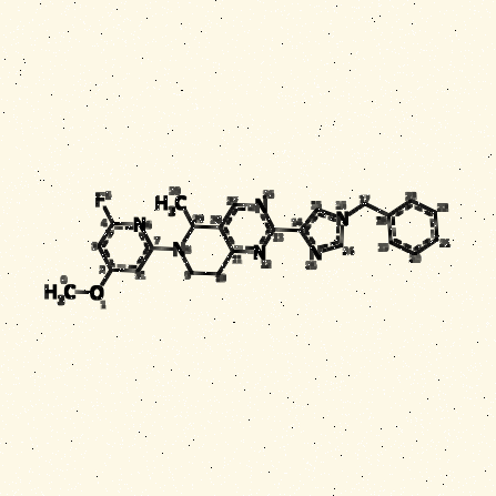 COc1cc(F)nc(N2CCc3nc(-c4cn(Cc5ccccc5)cn4)ncc3C2C)c1